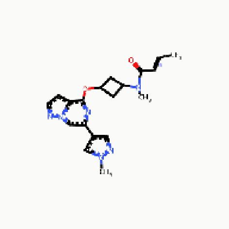 CN(C(=O)/C=C/C(F)(F)F)C1CC(Oc2nc(-c3cnn(C)c3)cn3nccc23)C1